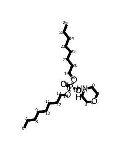 C1COCCN1.CCCCCCCCOP(=O)(O)OCCCCCCCC